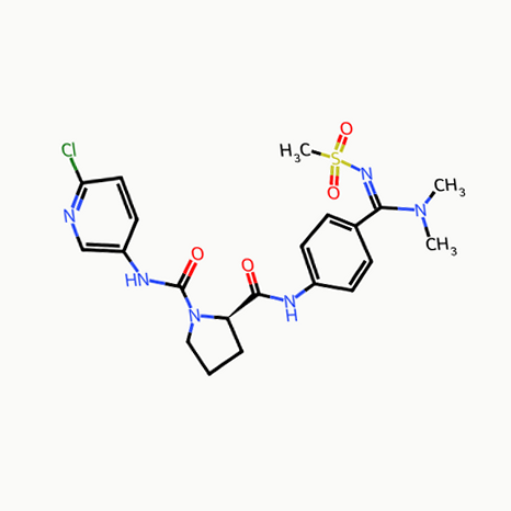 CN(C)/C(=N/S(C)(=O)=O)c1ccc(NC(=O)[C@H]2CCCN2C(=O)Nc2ccc(Cl)nc2)cc1